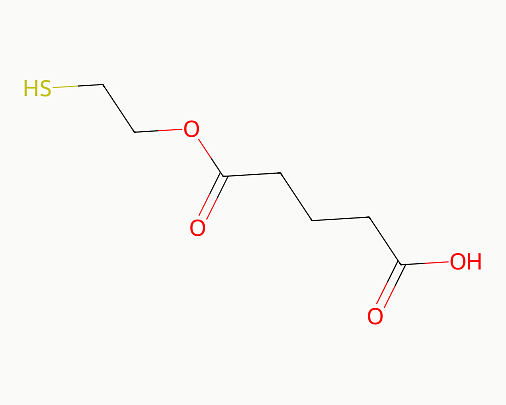 O=C(O)CCCC(=O)OCCS